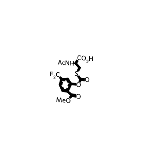 COC(=O)c1ccc(C(F)(F)F)cc1OC(=O)SC[C@@H](NC(C)=O)C(=O)O